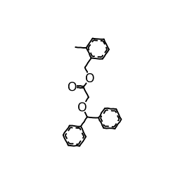 Cc1ccccc1COC(=O)COC(c1ccccc1)c1ccccc1